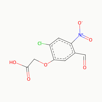 O=Cc1cc(OCC(=O)O)c(Cl)cc1[N+](=O)[O-]